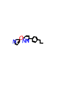 CCCc1ccc(-c2ccc(OC3CN4CCC3CC4)nn2)cc1